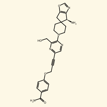 NC(=O)c1ccc(OCC#Cc2cnc(N3CCC4(CC3)Cc3ocnc3[C@H]4N)c(CO)n2)cc1